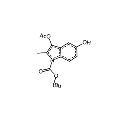 CC(=O)Oc1c(C)n(C(=O)OC(C)(C)C)c2ccc(O)cc12